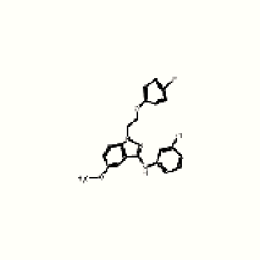 COc1ccc2c(c1)c(Nc1cccc(Cl)c1)nn2CCOc1ccc(F)cc1